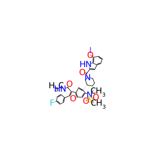 CNC(=O)c1c(-c2ccc(F)cc2)oc2cc(N(C)S(C)(=O)=O)c([C@H]3CCCN(C(=O)c4cc5cccc(OI)c5[nH]4)C3)cc12